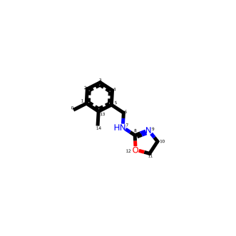 Cc1cccc(CNC2=NCCO2)c1C